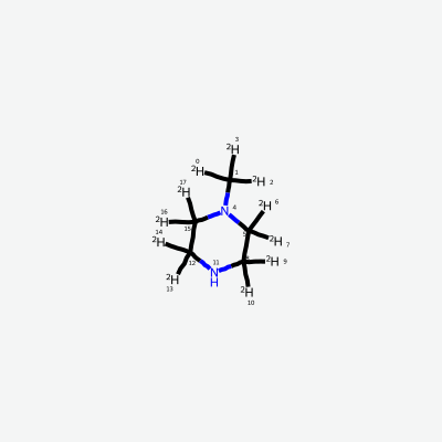 [2H]C([2H])([2H])N1C([2H])([2H])C([2H])([2H])NC([2H])([2H])C1([2H])[2H]